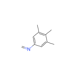 C=Nc1cc(C)c(C)c(C)c1